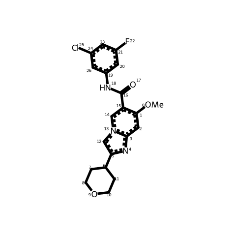 COc1cc2nc(C3CCOCC3)cn2cc1C(=O)Nc1cc(F)cc(Cl)c1